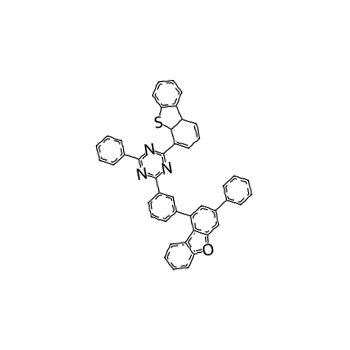 C1=CC2c3ccccc3SC2C(c2nc(-c3ccccc3)nc(-c3cccc(-c4cc(-c5ccccc5)cc5oc6ccccc6c45)c3)n2)=C1